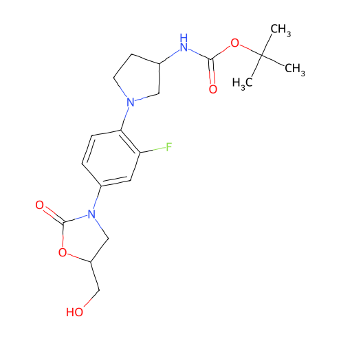 CC(C)(C)OC(=O)NC1CCN(c2ccc(N3CC(CO)OC3=O)cc2F)C1